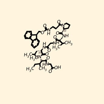 CCC(C)[C@H](NC(=O)[C@H](CC(C)C)NC(=O)CNC(=O)[C@@H](NC(=O)[C@@H]1CCCN1C(=O)CCNC(=O)OCC1c2ccccc2-c2ccccc21)C(C)C)C(=O)NCC(=O)O